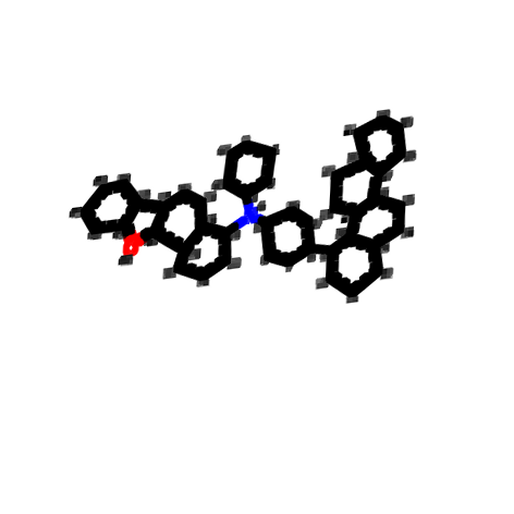 c1ccc(N(c2ccc(-c3cccc4ccc5c6ccccc6ccc5c34)cc2)c2cccc3c2ccc2c4ccccc4oc32)cc1